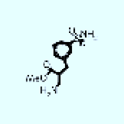 COC(=O)C(CN)Cc1cccc(S(N)(=O)=O)c1